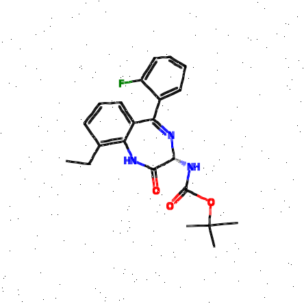 CCc1cccc2c1NC(=O)[C@@H](NC(=O)OC(C)(C)C)N=C2c1ccccc1F